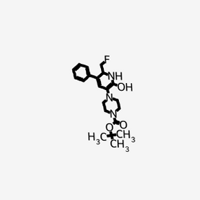 CC(C)(C)OC(=O)N1CCN(C2=C(O)NC(CF)C(c3ccccc3)=C2)CC1